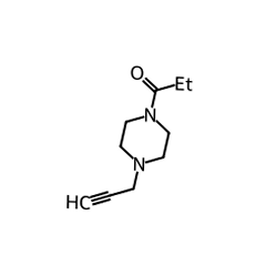 C#CCN1CCN(C(=O)CC)CC1